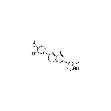 COc1ccc(C2=CCN3C=C(N4CCN[C@H](C)C4)C=C(C)C3=N2)cc1OC